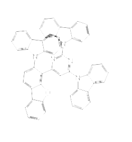 c1ccc2c(c1)oc1c(-c3cc(-n4c5ccccc5c5ccccc54)nc(-n4c5ccccc5c5ccccc54)n3)c(-n3c4ccccc4c4ccccc43)ccc12